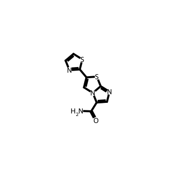 NC(=O)c1cnc2sc(-c3nccs3)cn12